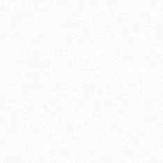 COP(OC(C)C)C1CCCCC1